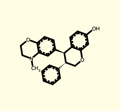 CN1CCOc2ccc([C@H]3c4ccc(O)cc4OC[C@@H]3c3ccccc3)cc21